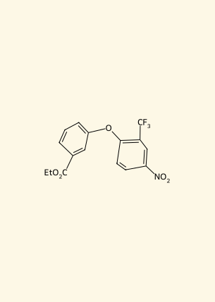 CCOC(=O)c1cccc(Oc2ccc([N+](=O)[O-])cc2C(F)(F)F)c1